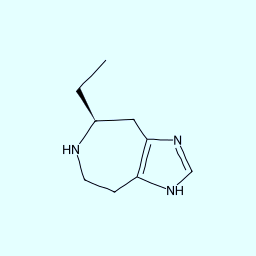 CC[C@H]1Cc2nc[nH]c2CCN1